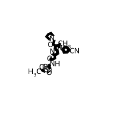 CC(C)=CS(=O)(=O)CCNC(=O)Cc1cnc2c(C(=O)CN3CCCCC3)c(C)n(-c3ccc(C#N)cc3)c2c1